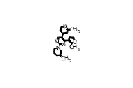 Cc1cc(-c2cnc(N3CCCC(C)C3)nc2-c2ccoc2C)ccn1